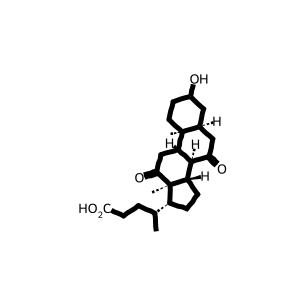 CC(CCC(=O)O)[C@H]1CC[C@H]2[C@@H]3C(=O)C[C@@H]4CC(O)CC[C@]4(C)[C@H]3CC(=O)[C@]12C